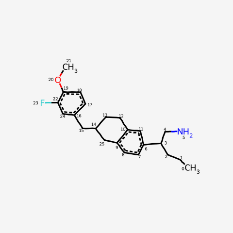 CCCC(CN)c1ccc2c(c1)CCC(Cc1ccc(OC)c(F)c1)C2